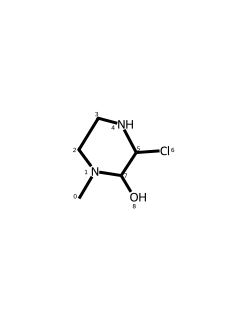 CN1CCNC(Cl)C1O